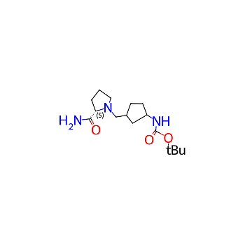 CC(C)(C)OC(=O)NC1CCC(CN2CCC[C@H]2C(N)=O)C1